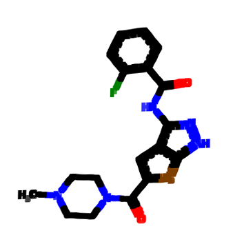 CN1CCN(C(=O)c2cc3c(NC(=O)c4ccccc4F)n[nH]c3s2)CC1